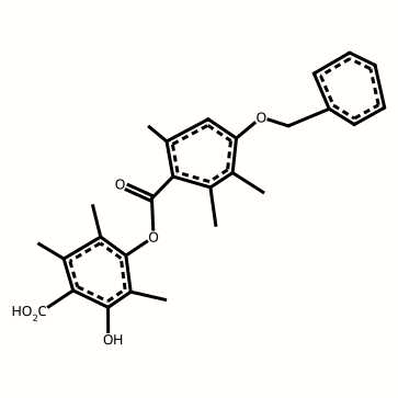 Cc1cc(OCc2ccccc2)c(C)c(C)c1C(=O)Oc1c(C)c(C)c(C(=O)O)c(O)c1C